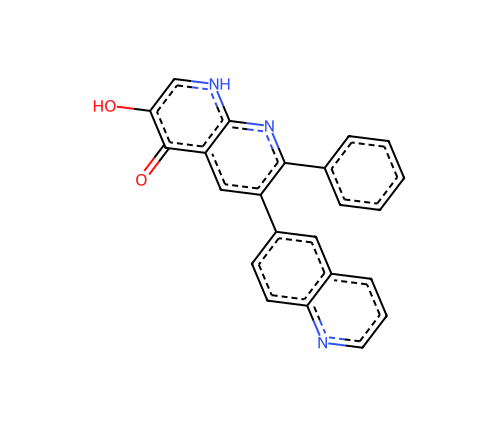 O=c1c(O)c[nH]c2nc(-c3ccccc3)c(-c3ccc4ncccc4c3)cc12